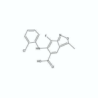 Cc1onc2c(F)c(Nc3ccccc3Cl)c(C(=O)O)cc12